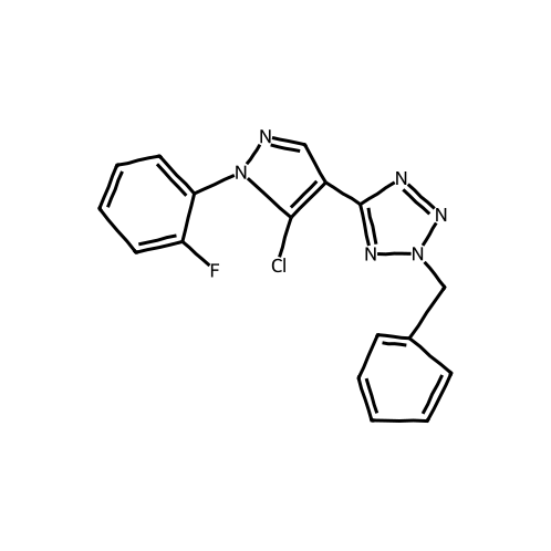 Fc1ccccc1-n1ncc(-c2nnn(Cc3ccccc3)n2)c1Cl